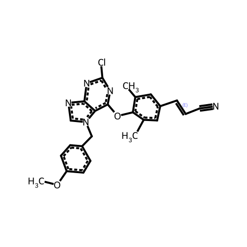 COc1ccc(Cn2cnc3nc(Cl)nc(Oc4c(C)cc(/C=C/C#N)cc4C)c32)cc1